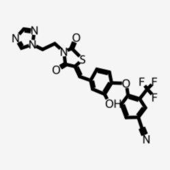 N#Cc1ccc(Oc2ccc(/C=C3\SC(=O)N(CCn4cncn4)C3=O)cc2O)c(C(F)(F)F)c1